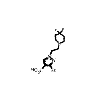 CCc1nn(CCN2CCC(F)(F)CC2)cc1C(=O)O